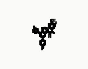 C[C@@H](Nc1ncnc2c(-c3cnn(C)c3)cc(-c3ccc(F)cc3)cc12)c1cnc(C(F)(F)F)nc1